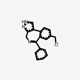 ClCc1ccc2c(c1)C(c1ccccc1)=NCc1n[nH]cc1-2